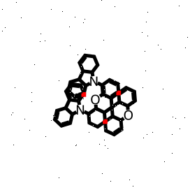 C1=CC2OC3C=CCCC3C3(c4cccc(N5C6C=CC=CC6C6C=CCCC65)c4OC4C(N5c6ccccc6C6C=CC=CC65)CCCC43)C2C=C1